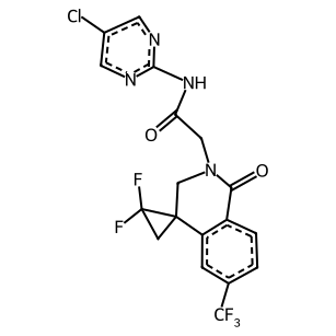 O=C(CN1CC2(CC2(F)F)c2cc(C(F)(F)F)ccc2C1=O)Nc1ncc(Cl)cn1